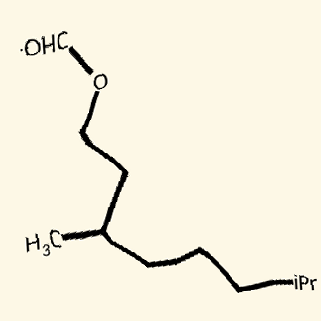 CC(C)CCCC(C)CCO[C]=O